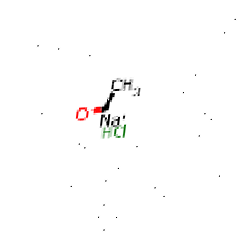 CC[O-].Cl.[Na+]